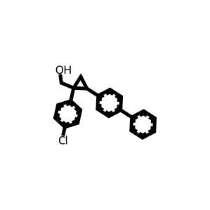 OCC1(c2ccc(Cl)cc2)CC1c1ccc(-c2ccccc2)cc1